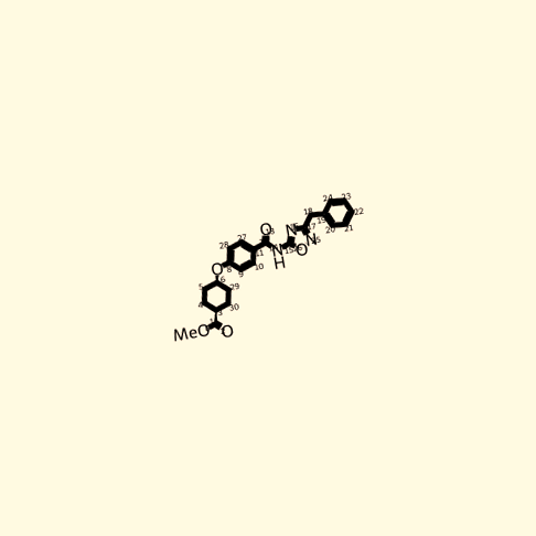 COC(=O)[C@H]1CC[C@@H](Oc2ccc(C(=O)Nc3nc(Cc4ccccc4)no3)cc2)CC1